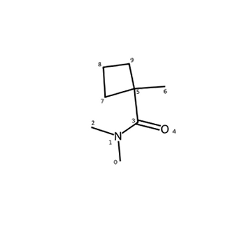 CN(C)C(=O)C1(C)CCC1